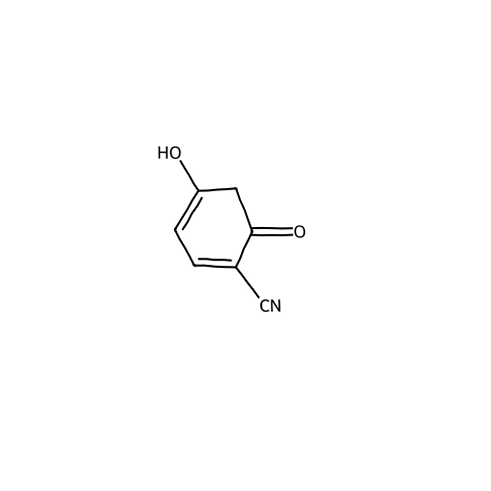 N#CC1=CC=C(O)CC1=O